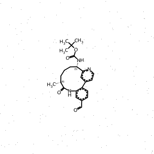 C[C@@H]1CCC[C@H](NC(=O)OC(C)(C)C)c2cc(ccn2)-c2ccc(C=O)cc2NC1=O